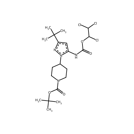 CC(C)(C)OC(=O)N1CCC(n2nc(C(C)(C)C)cc2NC(=O)OC(Cl)C(Cl)Cl)CC1